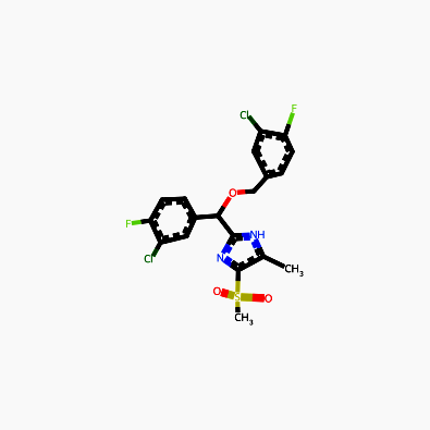 Cc1[nH]c(C(OCc2ccc(F)c(Cl)c2)c2ccc(F)c(Cl)c2)nc1S(C)(=O)=O